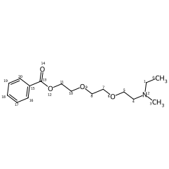 CCN(C)CCOCCOCCOC(=O)c1ccccc1